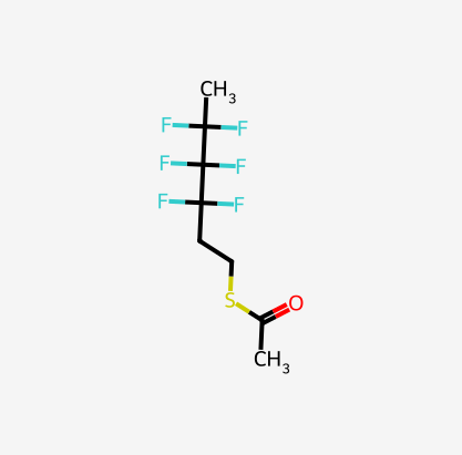 CC(=O)SCCC(F)(F)C(F)(F)C(C)(F)F